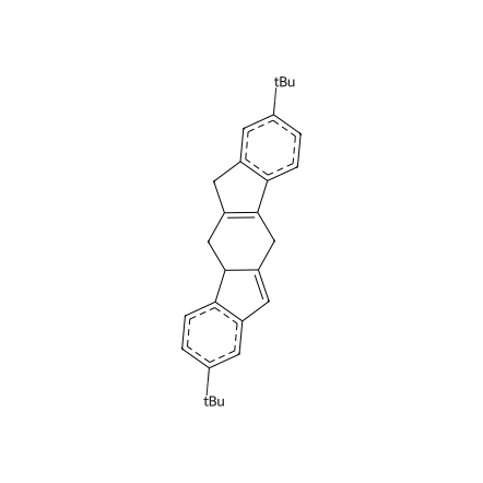 CC(C)(C)c1ccc2c(c1)C=C1CC3=C(Cc4cc(C(C)(C)C)ccc43)CC12